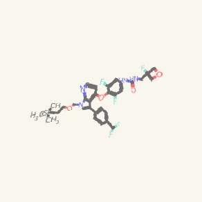 C[Si](C)(C)CCOCn1cc(-c2ccc(C(F)F)cc2)c2c(Oc3c(F)cc(NC(=O)NCC4(F)COC4)cc3F)ccnc21